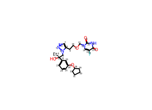 CC[C@@](O)(Cn1nncc1CCOCn1cc(F)c(=O)[nH]c1=O)c1cccc(OC2CCCC2)c1